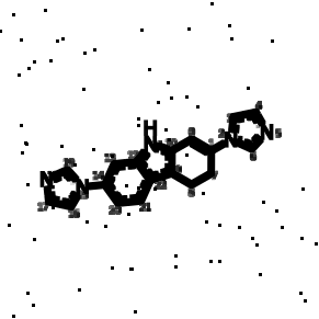 C1=C(n2ccnc2)CCc2c1[nH]c1cc(-n3ccnc3)ccc21